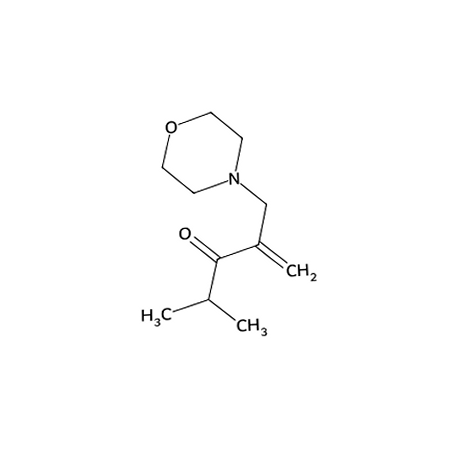 C=C(CN1CCOCC1)C(=O)C(C)C